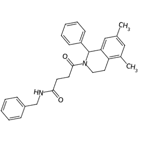 Cc1cc(C)c2c(c1)C(c1ccccc1)N(C(=O)CCC(=O)NCc1ccccc1)CC2